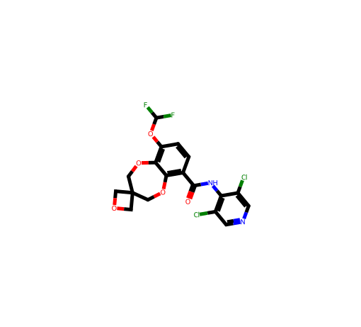 O=C(Nc1c(Cl)cncc1Cl)c1ccc(OC(F)F)c2c1OCC1(COC1)CO2